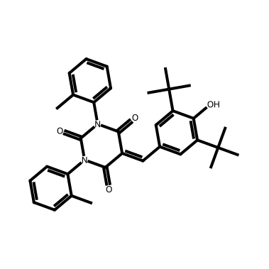 Cc1ccccc1N1C(=O)C(=Cc2cc(C(C)(C)C)c(O)c(C(C)(C)C)c2)C(=O)N(c2ccccc2C)C1=O